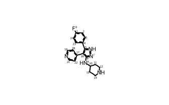 Fc1ccc(-c2[nH]nc(NC3CCNCC3)c2-c2ccncc2)cc1